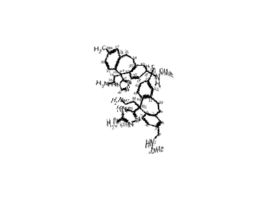 CONCc1ccc2c(c1)CCc1cc(C(C)(NOC)c3ccc4c(c3)CCc3cc(C)ccc3C4(CCN)c3nnc[nH]3)ccc1C2(CCN)c1nnc(C)[nH]1